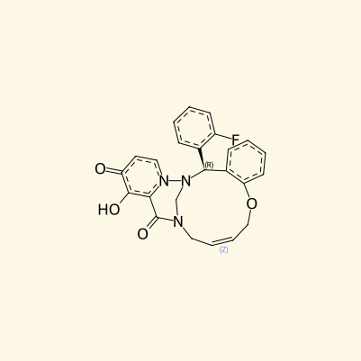 O=C1c2c(O)c(=O)ccn2N2CN1C/C=C\COc1ccccc1[C@@H]2c1ccccc1F